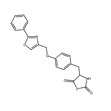 O=C1NC(Cc2ccc(OCc3coc(-c4ccccc4)n3)cc2)C(=O)S1